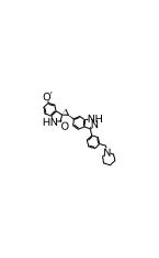 COc1ccc2c(c1)[C@]1(C[C@H]1c1ccc3c(-c4cccc(CN5CCCCC5)c4)n[nH]c3c1)C(=O)N2